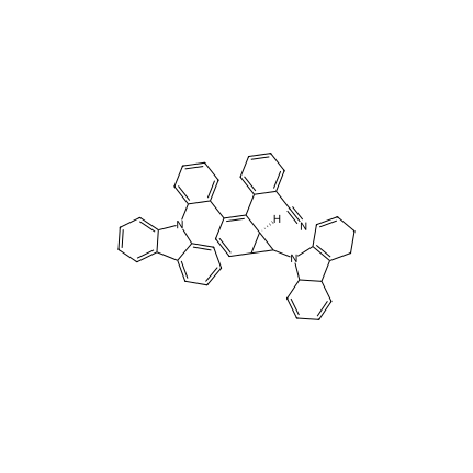 N#Cc1ccccc1C1=C(c2ccccc2-n2c3ccccc3c3ccccc32)C=CC2C(N3C4=C(CCC=C4)C4C=CC=CC43)[C@H]12